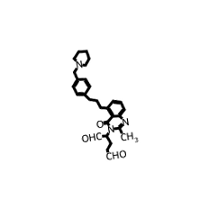 Cc1nc2cccc(CCCc3ccc(CN4CCCCC4)cc3)c2c(=O)n1C(C=O)CCC=O